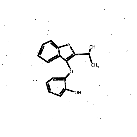 CC(C)c1sc2ccccc2c1Oc1ccccc1O